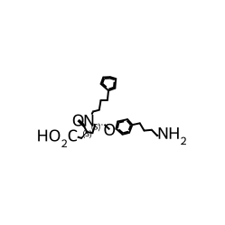 NCCCCc1ccc(OC[C@@H]2C[C@@H](CC(=O)O)C(=O)N2CCCCc2ccccc2)cc1